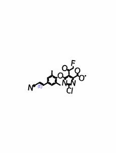 COC(=O)c1nc(Cl)nc(Oc2c(C)cc(/C=C/C#N)cc2C)c1C(=O)CF